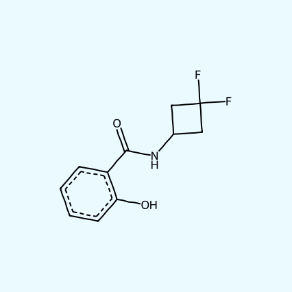 O=C(NC1CC(F)(F)C1)c1ccccc1O